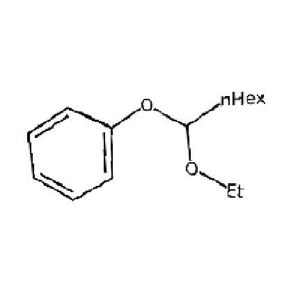 CCCCCCC(OCC)Oc1ccccc1